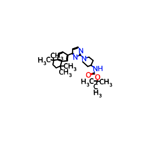 CC(C)(C)OC(=O)NC1CCN(c2nccc(-c3ccc4c(c3)C(C)(C)CCC4(C)C)n2)CC1